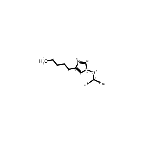 CCCCCc1cn(OC(F)F)cn1